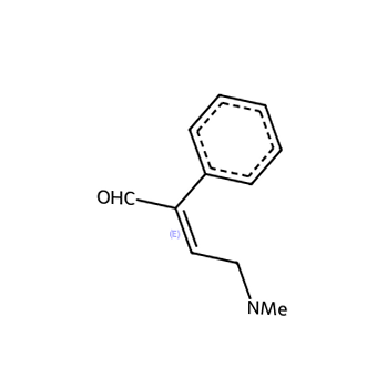 CNC/C=C(/C=O)c1ccccc1